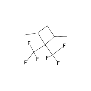 CC1CC(C)C1(C(F)(F)F)C(F)(F)F